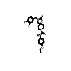 CCOc1ccc(NC(=S)N2CCC3(CC2)CN(Cc2ccc(F)c(F)c2)C(=O)O3)cc1